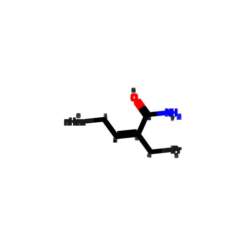 CCCCCCCC=C(CC(C)C)C(N)=O